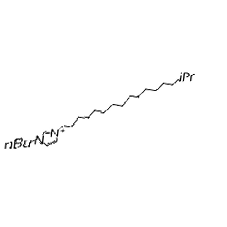 CCCCn1cc[n+](CCCCCCCCCCCCCCC(C)C)c1